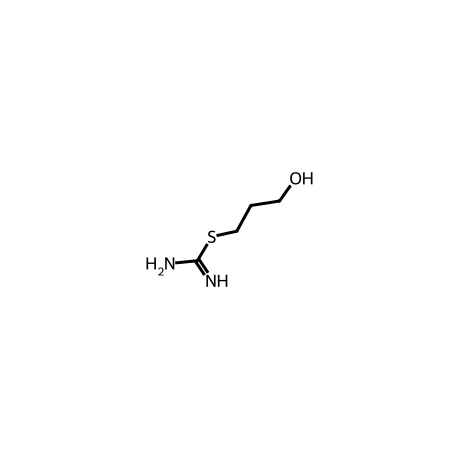 N=C(N)SCCCO